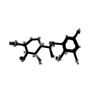 C[C@H](Nc1cc(Br)cc(F)c1C(F)(F)F)[C@H]1CCN(C(=O)O)C(C(C)(C)C)[C@H]1F